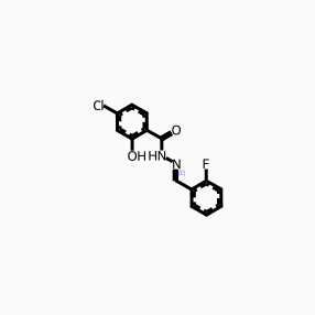 O=C(N/N=C/c1ccccc1F)c1ccc(Cl)cc1O